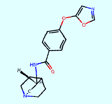 O=C(N[C@H]1CN2CCC1CC2)c1ccc(Oc2cnco2)cc1